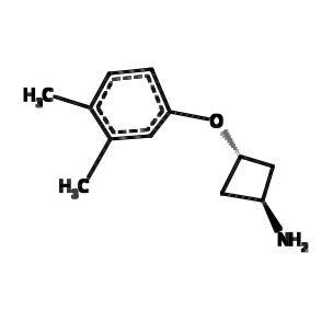 Cc1ccc(O[C@H]2C[C@H](N)C2)cc1C